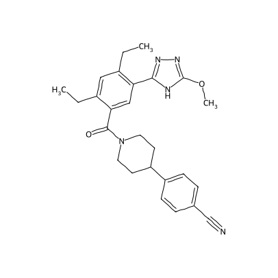 CCc1cc(CC)c(-c2nnc(OC)[nH]2)cc1C(=O)N1CCC(c2ccc(C#N)cc2)CC1